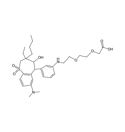 CCCCC1(CC)CS(=O)(=O)c2ccc(N(C)C)cc2C(c2cccc(NCCOCCOCC(=O)O)c2)C1O